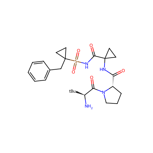 CC(C)(C)[C@H](N)C(=O)N1CCC[C@H]1C(=O)NC1(C(=O)NS(=O)(=O)C2(Cc3ccccc3)CC2)CC1